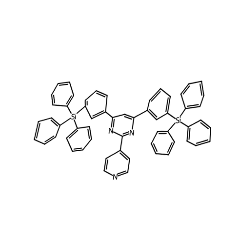 c1ccc([Si](c2ccccc2)(c2ccccc2)c2cccc(-c3cc(-c4cccc([Si](c5ccccc5)(c5ccccc5)c5ccccc5)c4)nc(-c4ccncc4)n3)c2)cc1